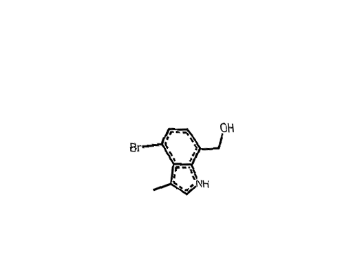 Cc1c[nH]c2c(CO)ccc(Br)c12